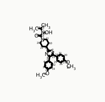 COc1ccc(-c2nc(C3CCN(C(=O)N(O)C(C)C)CC3)sc2-c2ccc(OC)cc2)cc1